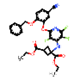 CCOC(=O)C1CC(Nc2c(F)c(F)nc(Oc3cc(C#N)ccc3OCc3ccccc3)c2F)(C(=O)OCC)C1